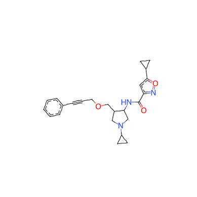 O=C(NC1CN(C2CC2)CC1COCC#Cc1ccccc1)c1cc(C2CC2)on1